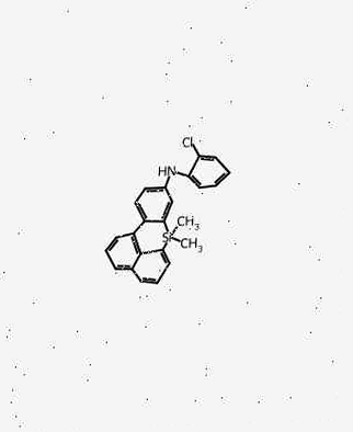 C[Si]1(C)c2cc(Nc3ccccc3Cl)ccc2-c2cccc3cccc1c23